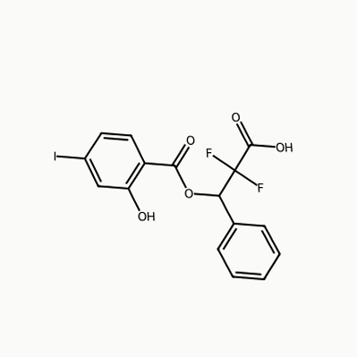 O=C(OC(c1ccccc1)C(F)(F)C(=O)O)c1ccc(I)cc1O